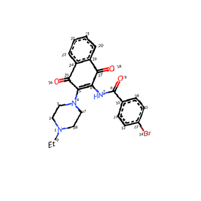 CCN1CCN(C2=C(NC(=O)c3ccc(Br)cc3)C(=O)c3ccccc3C2=O)CC1